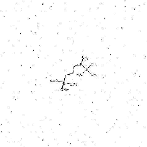 CO[Si](CCCP(C)[Si](C)(C)C)(OC)OC